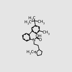 Cc1cc(-c2ccccc2N(CCC2CCCN2C)C(=O)O)cc(C(C)(C)C)c1